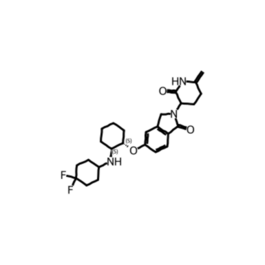 C=C1CCC(N2Cc3cc(O[C@H]4CCCC[C@@H]4NC4CCC(F)(F)CC4)ccc3C2=O)C(=O)N1